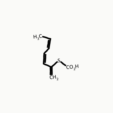 C=C(/C=C\C=C/C)SC(=O)O